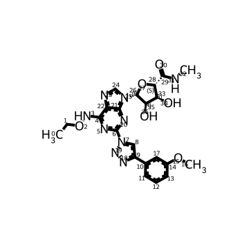 CCONc1nc(-n2cc(-c3cccc(OC)c3)nn2)nc2c1ncn2[C@@H]1O[C@H](C(=O)NC)[C@@H](O)[C@H]1O